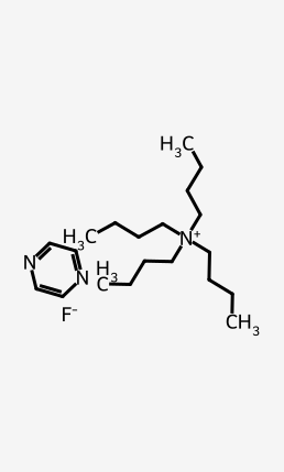 CCCC[N+](CCCC)(CCCC)CCCC.[F-].c1cnccn1